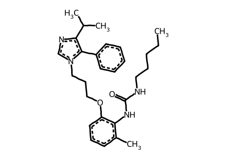 CCCCCNC(=O)Nc1c(C)cccc1OCCCn1cnc(C(C)C)c1-c1ccccc1